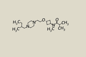 CCC(C)CN1CCN(CCO[C@H]2C[C@H](N(C)C(=O)C(C)C)C2)CC1